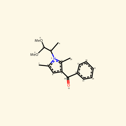 COC(OC)C(C)n1c(C)cc(C(=O)c2ccccc2)c1C